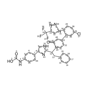 O=C(O)Nc1ccc(-c2c[nH]c(C(Cc3ccccc3)n3ccc(-c4cc(Cl)ccc4-n4cc(C(F)(F)F)nn4)cc3=O)n2)cc1